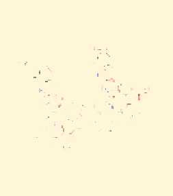 CC(C)(C)C(=O)CN1C(=O)[C@H](NC(=O)Nc2cccc(C(=O)[O-])c2)CN(C2CCCCC2)c2ccccc21.CC(C)(C)C(=O)CN1C(=O)[C@H](NC(=O)Nc2cccc(C(=O)[O-])c2)CN(C2CCCCC2)c2ccccc21.[Ca+2]